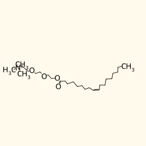 CCCCCCCC/C=C\CCCCCCCC(=O)OCCOCCOCC[N+](C)(C)C